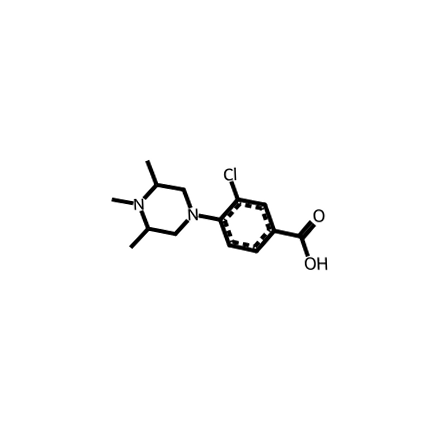 CC1CN(c2ccc(C(=O)O)cc2Cl)CC(C)N1C